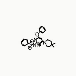 CC1(C)CCN(c2cc(Oc3ccccc3)nc(NS(=O)(=O)c3ccccc3)n2)CC1